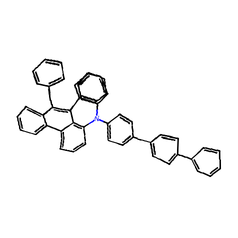 c1ccc(-c2ccc(-c3ccc(N(c4ccccc4)c4cccc5c4c(-c4ccccc4)c(-c4ccccc4)c4ccccc45)cc3)cc2)cc1